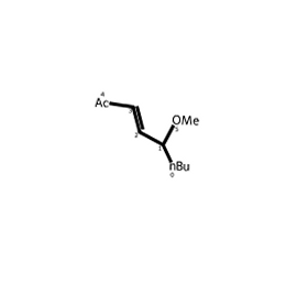 CCCCC(C=CC(C)=O)OC